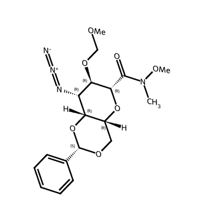 COCO[C@@H]1[C@@H](N=[N+]=[N-])[C@H]2O[C@@H](c3ccccc3)OC[C@H]2O[C@H]1C(=O)N(C)OC